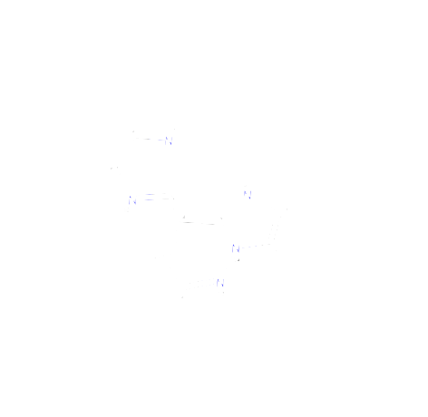 [c]1cnc2c(-c3cnccn3)ccnn12